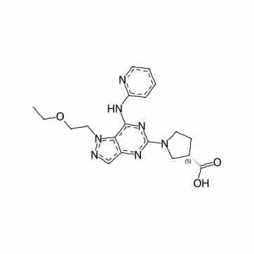 CCOCCn1ncc2nc(N3CC[C@H](C(=O)O)C3)nc(Nc3ccccn3)c21